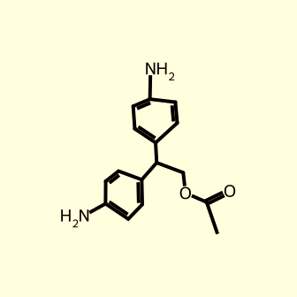 CC(=O)OCC(c1ccc(N)cc1)c1ccc(N)cc1